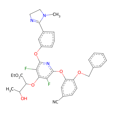 CCOC(=O)C(Oc1c(F)c(Oc2cccc(C3=NCCN3C)c2)nc(Oc2cc(C#N)ccc2OCc2ccccc2)c1F)C(C)O